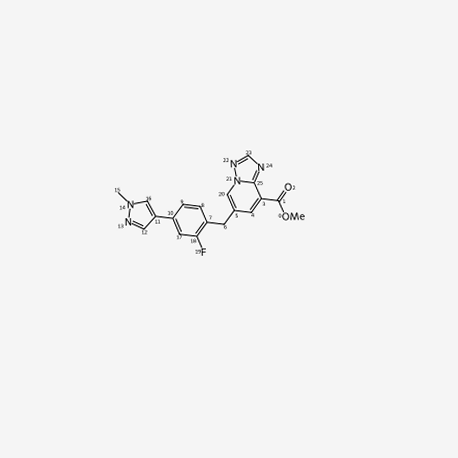 COC(=O)c1cc(Cc2ccc(-c3cnn(C)c3)cc2F)cn2ncnc12